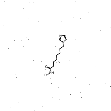 CCNC(=O)CCCCCCCn1c[c]nc1